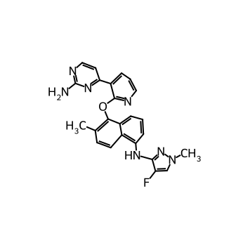 Cc1ccc2c(Nc3nn(C)cc3F)cccc2c1Oc1ncccc1-c1ccnc(N)n1